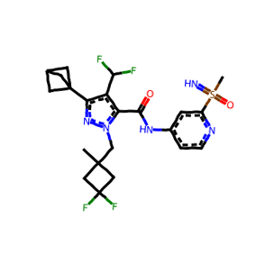 CC1(Cn2nc(C34CC(C3)C4)c(C(F)F)c2C(=O)Nc2ccnc(S(C)(=N)=O)c2)CC(F)(F)C1